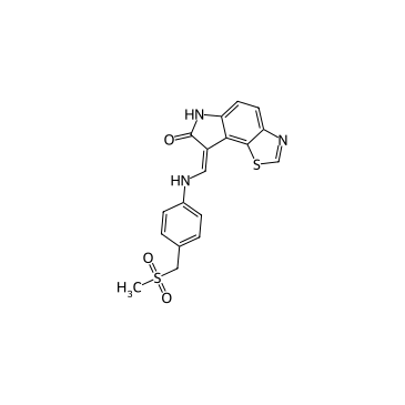 CS(=O)(=O)Cc1ccc(NC=C2C(=O)Nc3ccc4ncsc4c32)cc1